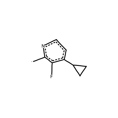 [CH2]c1nccc(C2CC2)c1F